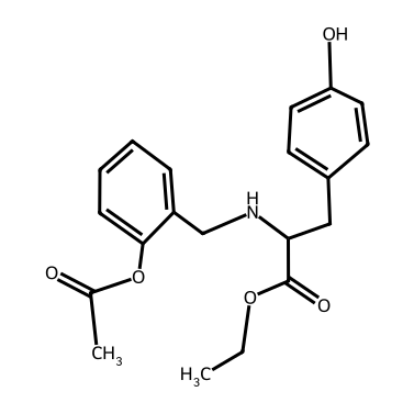 CCOC(=O)C(Cc1ccc(O)cc1)NCc1ccccc1OC(C)=O